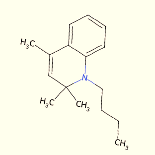 CCCCN1c2ccccc2C(C)=CC1(C)C